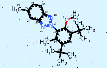 COc1c(C(C)(C)C)cc(C(C)(C)C)c(C)c1-n1nc2ccc(C)cc2n1